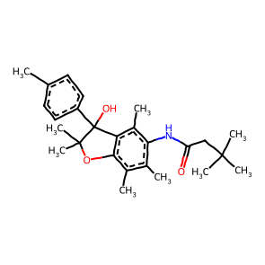 Cc1ccc(C2(O)c3c(C)c(NC(=O)CC(C)(C)C)c(C)c(C)c3OC2(C)C)cc1